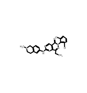 CCc1nn(-c2c(Cl)cccc2Cl)c(=O)c2cnc(Nc3ccc4c(c3)CCN(C)C4)nc12